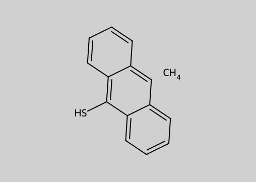 C.Sc1c2ccccc2cc2ccccc12